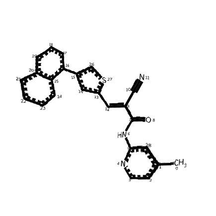 Cc1ccnc(NC(=O)/C(C#N)=C/c2cc(-c3cccc4ccccc34)cs2)c1